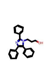 OCCCn1c(-c2ccccc2)nc(-c2ccccc2)c1-c1ccccc1